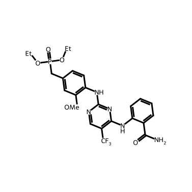 CCOP(=O)(Cc1ccc(Nc2ncc(C(F)(F)F)c(Nc3ccccc3C(N)=O)n2)c(OC)c1)OCC